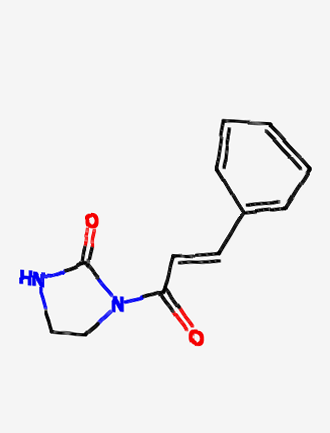 O=C(/C=C/c1ccccc1)N1CCNC1=O